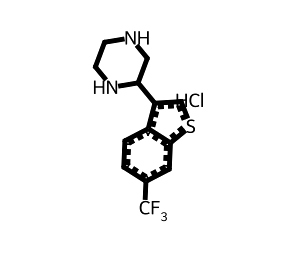 Cl.FC(F)(F)c1ccc2c(C3CNCCN3)csc2c1